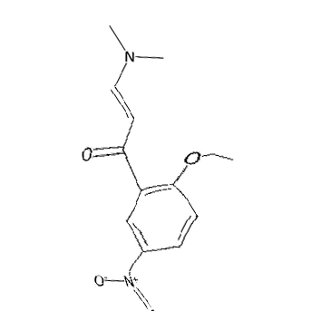 COc1ccc([N+](=O)[O-])cc1C(=O)C=CN(C)C